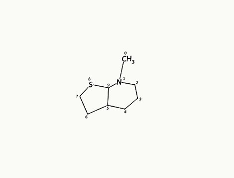 CN1CCCC2CCSC21